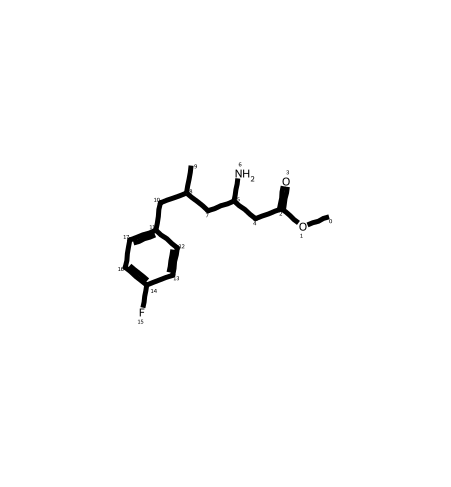 COC(=O)CC(N)CC(C)Cc1ccc(F)cc1